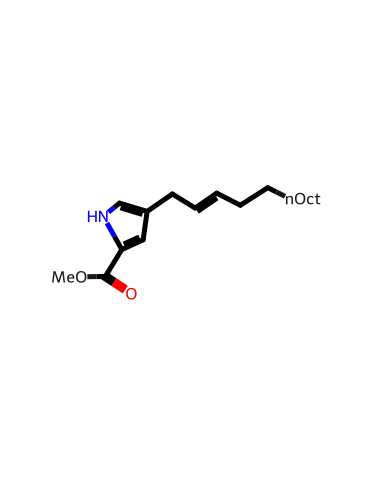 CCCCCCCCCCC=CCc1c[nH]c(C(=O)OC)c1